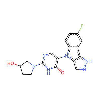 O=c1[nH]c(N2CCC(O)C2)ncc1-n1c2ccc(F)cc2c2[nH]ncc21